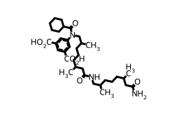 CC(CCCC(C)CC(N)=O)CNC(=O)CC(C)CCCC(C)CN(C(=O)C1CCCCC1)c1cc(C(=O)O)cc(C(=O)O)c1